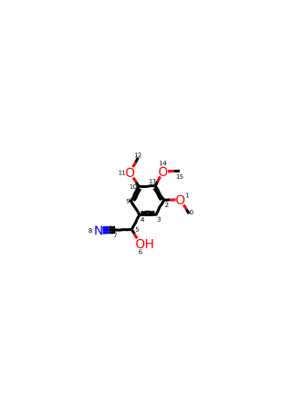 COc1cc(C(O)C#N)cc(OC)c1OC